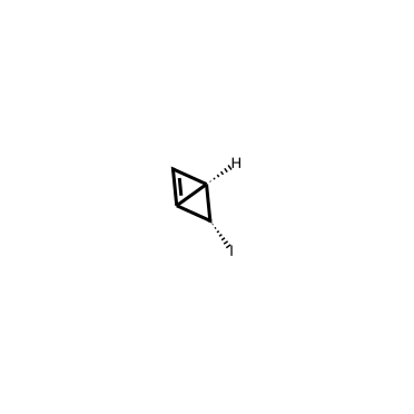 I[C@@H]1C2=C[C@H]21